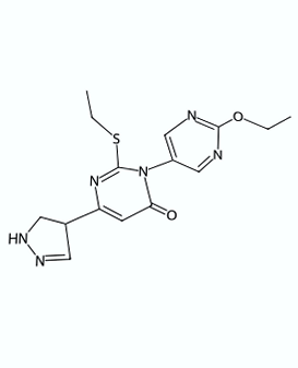 CCOc1ncc(-n2c(SCC)nc(C3C=NNC3)cc2=O)cn1